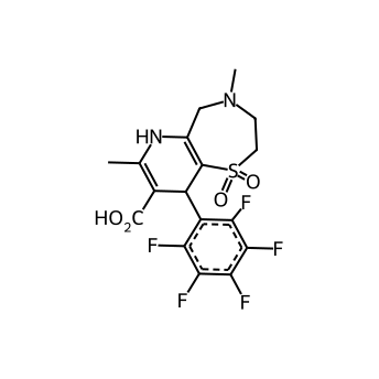 CC1=C(C(=O)O)C(c2c(F)c(F)c(F)c(F)c2F)C2=C(CN(C)CCS2(=O)=O)N1